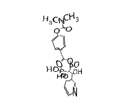 CN(C)C(=O)Oc1ccc(C2OP(=O)(O)C(O)(Cc3cccnc3)P(=O)(O)O2)cc1